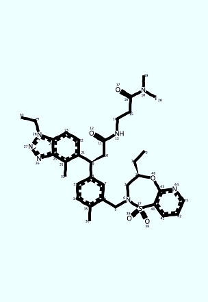 CC[C@@H]1CN(Cc2cc([C@H](CC(=O)NCCC(=O)N(C)I)c3ccc4c(nnn4CC)c3C)ccc2C)S(=O)(=O)c2cccnc2O1